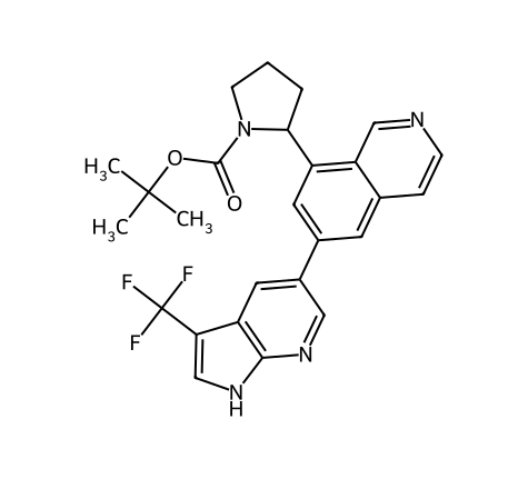 CC(C)(C)OC(=O)N1CCCC1c1cc(-c2cnc3[nH]cc(C(F)(F)F)c3c2)cc2ccncc12